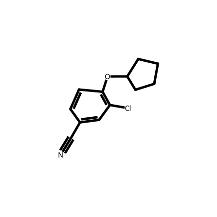 N#Cc1ccc(OC2CCCC2)c(Cl)c1